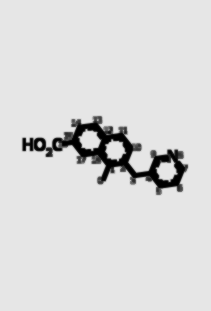 Cc1c(Cc2cccnc2)ccc2ccc(C(=O)O)cc12